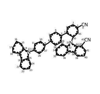 N#Cc1ccc(-c2ccc(-c3ccc(-n4c5ccccc5c5ccccc54)cc3)cc2)c(-n2c3ccccc3c3cccc(C#N)c32)c1